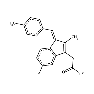 CCCC(=O)CC1=C(C)/C(=C/c2ccc(C)cc2)c2ccc(F)cc21